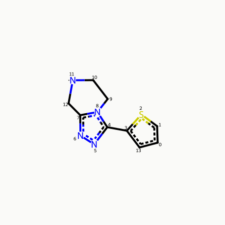 c1csc(-c2nnc3n2CC[N]C3)c1